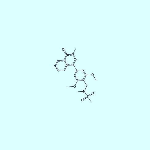 COc1cc(-c2cn(C)c(=O)c3cnccc23)cc(OC)c1CN(C)S(C)(=O)=O